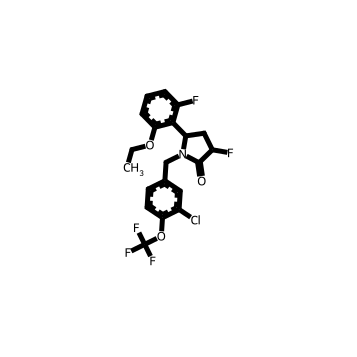 CCOc1cccc(F)c1C1CC(F)C(=O)N1Cc1ccc(OC(F)(F)F)c(Cl)c1